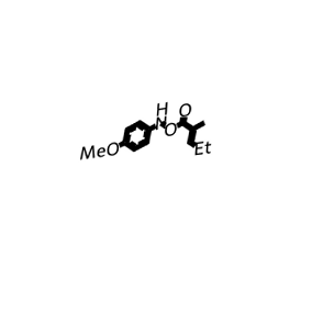 CCC=C(C)C(=O)ONc1ccc(OC)cc1